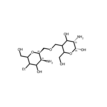 CCC1C(CO)O[C@@H](COCC2C(CO)O[C@@H](O)[C@@H](N)C2O)[C@@H](N)C1O